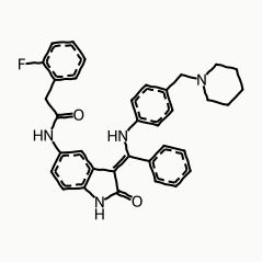 O=C(Cc1ccccc1F)Nc1ccc2c(c1)C(=C(Nc1ccc(CN3CCCCC3)cc1)c1ccccc1)C(=O)N2